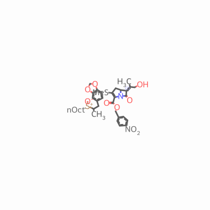 CCCCCCCC[S+]([O-])C(C)Cc1ccc2c(c1)OCO2.CSC1=C(C(=O)OCc2ccc([N+](=O)[O-])cc2)N2C(=O)/C(=C(/C)CO)C2C1